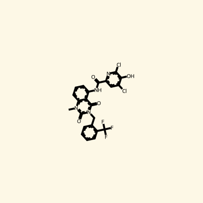 Cn1c(=O)n(Cc2ccccc2C(F)(F)F)c(=O)c2c(NC(=O)c3cc(Cl)c(O)c(Cl)n3)cccc21